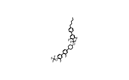 CCCCCc1ccc(-c2cc(F)c(C(F)(F)OC3CCC(c4ccc(-c5ccc(OC(F)(F)F)c(F)c5)c(F)c4)CC3)c(F)c2)cc1